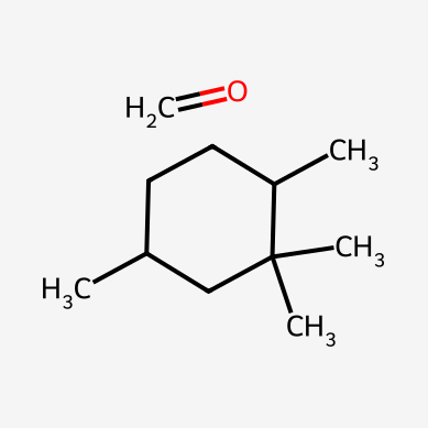 C=O.CC1CCC(C)C(C)(C)C1